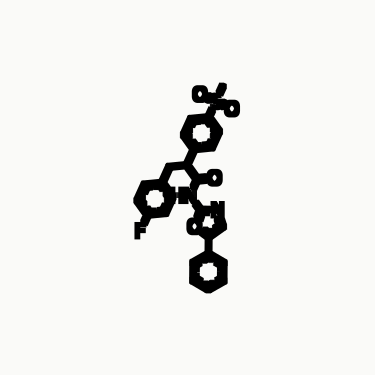 CS(=O)(=O)c1ccc(C(Cc2ccc(F)cc2)C(=O)Nc2ncc(-c3ccccc3)o2)cc1